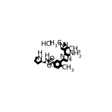 Cc1ccc(S(=O)(=O)NC[C@H]2CCCN2)cc1-c1cnc(N)c(-c2cn(C)nc2C)n1.Cl